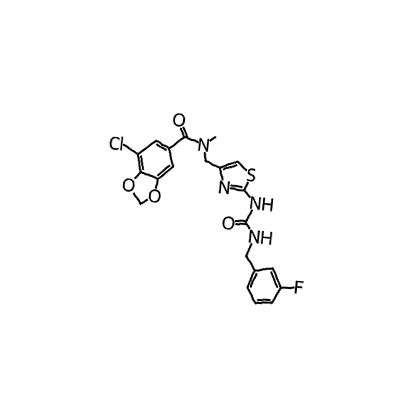 CN(Cc1csc(NC(=O)NCc2cccc(F)c2)n1)C(=O)c1cc(Cl)c2c(c1)OCO2